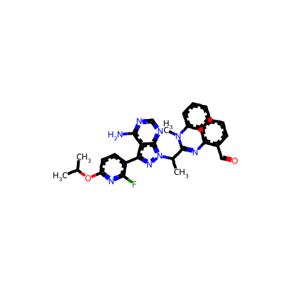 CC(C)Oc1ccc(-c2nn(C(C)/C(=N/c3ccccc3C=O)N(C)c3ccccc3)c3ncnc(N)c23)c(F)n1